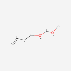 C=CCCOCOC